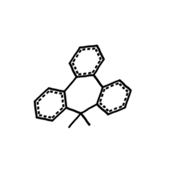 CC1(C)c2ccccc2-c2ccccc2-c2ccccc21